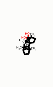 CC12CCC(C1)C(C)(C)C2C12CCC(C)(C1)C(O)(O)C2(C)C